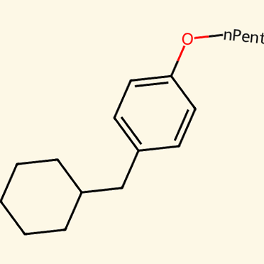 CCCCCOc1ccc(CC2CCCCC2)cc1